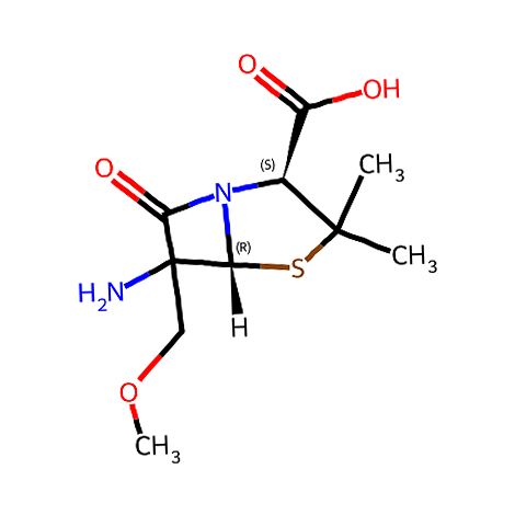 COCC1(N)C(=O)N2[C@@H](C(=O)O)C(C)(C)S[C@@H]21